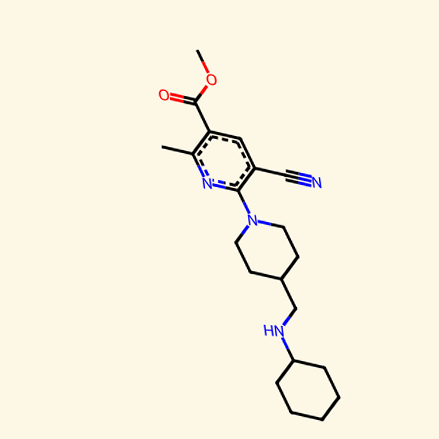 COC(=O)c1cc(C#N)c(N2CCC(CNC3CCCCC3)CC2)nc1C